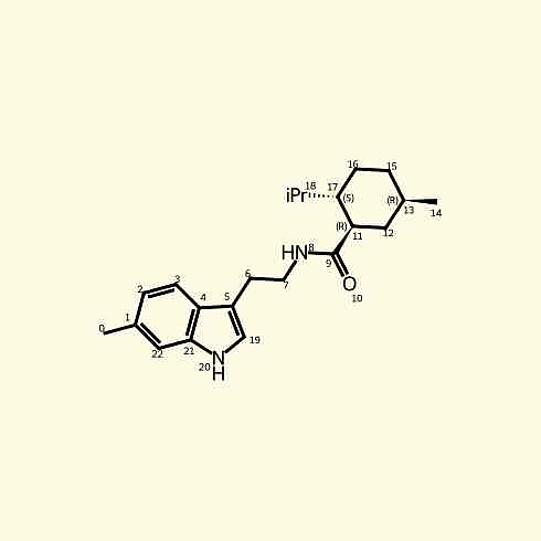 Cc1ccc2c(CCNC(=O)[C@@H]3C[C@H](C)CC[C@H]3C(C)C)c[nH]c2c1